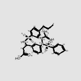 CCCc1ccc(S(=O)(=O)NC(CC(=O)O)c2cccc(N(NC(=N)N)S(=O)(=O)c3ccccc3)c2)cc1